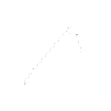 CC(C)CCCOC(=O)CCCCCCCCCCCCCCC(CCC(=O)OCCCC(C)C)C(C)C